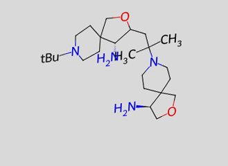 CC(C)(C)N1CCC2(CC1)COC(CC(C)(C)N1CCC3(CC1)COC[C@H]3N)[C@@H]2N